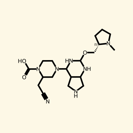 CN1CCC[C@H]1COC1NC2CNCC2C(N2CCN(C(=O)O)C(CC#N)C2)N1